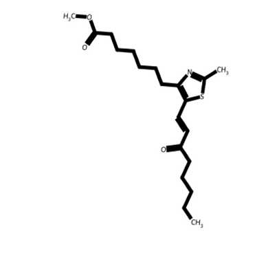 CCCCCC(=O)C=Cc1sc(C)nc1CCCCCCC(=O)OC